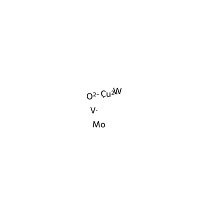 [Cu+2].[Mo].[O-2].[V].[W]